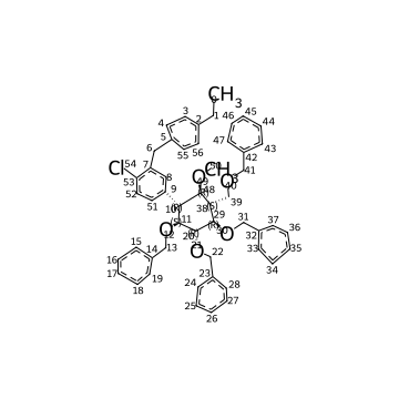 CCc1ccc(Cc2cc([C@H]3[C@H](OCc4ccccc4)[C@@H](OCc4ccccc4)[C@H](OCc4ccccc4)[C@@H](COCc4ccccc4)[C@@H]3OC)ccc2Cl)cc1